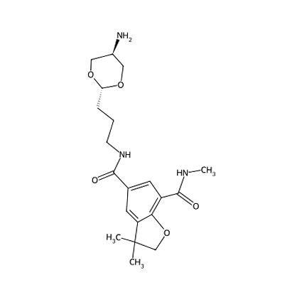 CNC(=O)c1cc(C(=O)NCCC[C@H]2OC[C@H](N)CO2)cc2c1OCC2(C)C